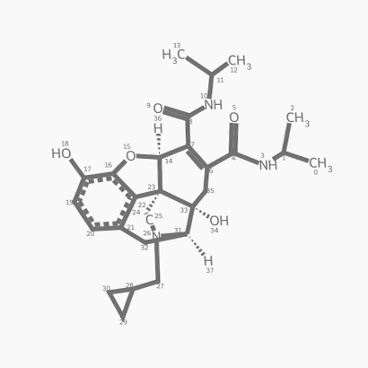 CC(C)NC(=O)C1=C(C(=O)NC(C)C)[C@@H]2Oc3c(O)ccc4c3[C@@]23CCN(CC2CC2)[C@H](C4)[C@]3(O)C1